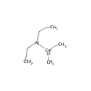 CC[N](CC)[GeH]([CH3])[CH3]